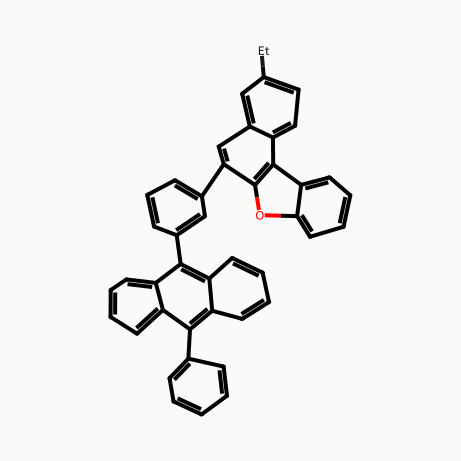 CCc1ccc2c(c1)cc(-c1cccc(-c3c4ccccc4c(-c4ccccc4)c4ccccc34)c1)c1oc3ccccc3c12